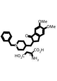 COc1cc2c(cc1OC)C(=O)C(CC1CCN(Cc3ccccc3)CC1)C2.N[C@@H](CC(=O)O)C(=O)O